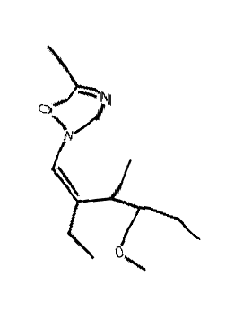 CC/C(=C/N1CN=C(C)O1)C(C)C(CC)OC